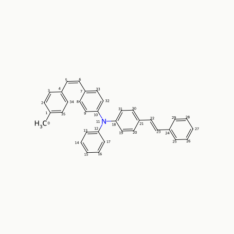 Cc1ccc(/C=C\c2ccc(N(c3ccccc3)c3ccc(/C=C/c4ccccc4)cc3)cc2)cc1